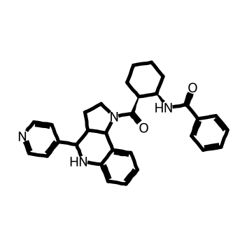 O=C(N[C@@H]1CCCC[C@@H]1C(=O)N1CCC2C(c3ccncc3)Nc3ccccc3C21)c1ccccc1